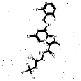 Cc1nc2c(OCc3c(F)cccc3F)cc(Cl)cn2c1C(=O)NCC(N)CC(F)(F)F